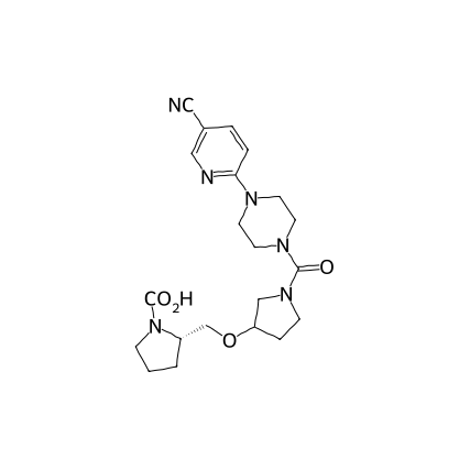 N#Cc1ccc(N2CCN(C(=O)N3CCC(OC[C@@H]4CCCN4C(=O)O)C3)CC2)nc1